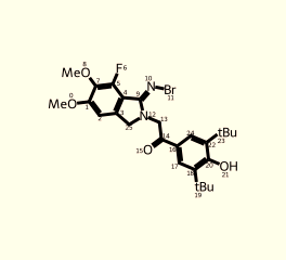 COc1cc2c(c(F)c1OC)/C(=N/Br)N(CC(=O)c1cc(C(C)(C)C)c(O)c(C(C)(C)C)c1)C2